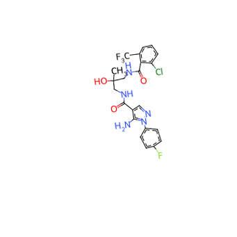 CC(O)(CNC(=O)c1cnn(-c2ccc(F)cc2)c1N)CNC(=O)c1c(Cl)cccc1C(F)(F)F